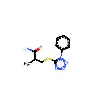 CC(CSc1nnnn1-c1ccccc1)C(N)=O